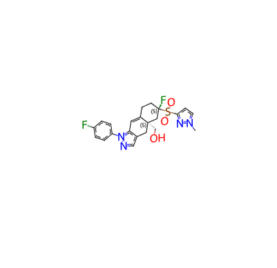 Cn1ccc(S(=O)(=O)[C@@]2(F)CCC3=Cc4c(cnn4-c4ccc(F)cc4)C[C@]3(CO)C2)n1